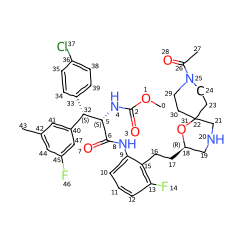 COC(=O)N[C@H](C(=O)Nc1cccc(F)c1CC[C@@H]1CNCC2(CCN(C(C)=O)CC2)O1)[C@@H](c1ccc(Cl)cc1)c1cc(C)cc(F)c1